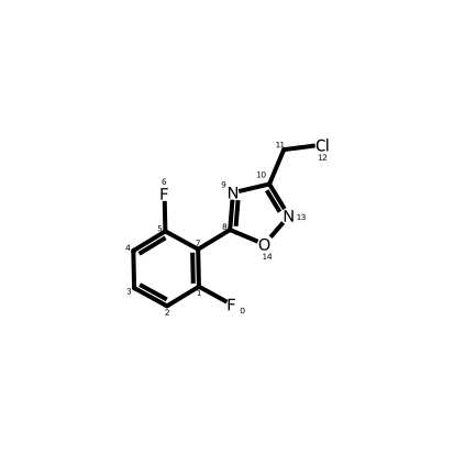 Fc1cccc(F)c1-c1nc(CCl)no1